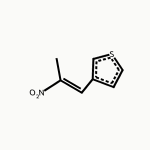 C/C(=C\c1ccsc1)[N+](=O)[O-]